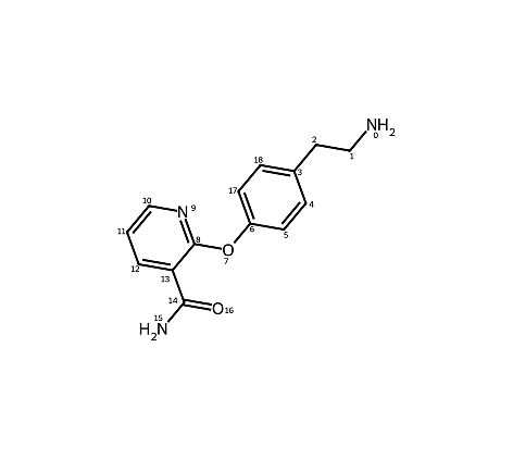 NCCc1ccc(Oc2ncccc2C(N)=O)cc1